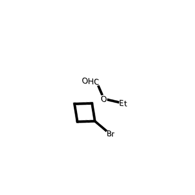 BrC1CCC1.CCOC=O